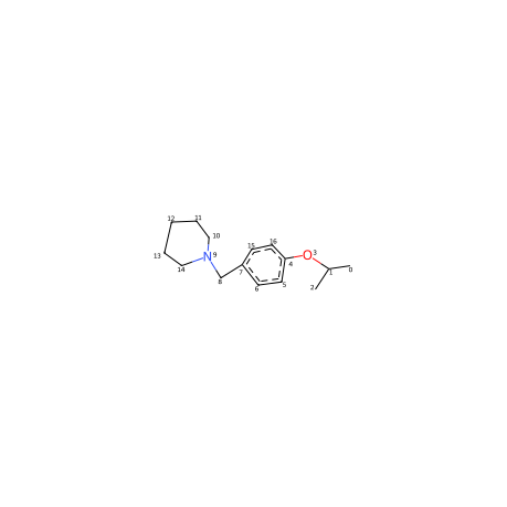 CC(C)Oc1ccc(CN2CCCCC2)cc1